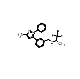 C[C@@H](OCc1cccc(-c2cc(N)nn2-c2ccccc2)c1)C(F)(F)F